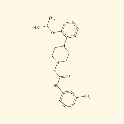 Cc1cccc(NC(=O)CN2CCN(c3ccccc3OC(C)C)CC2)c1